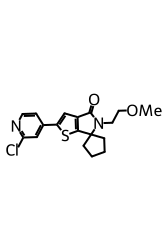 COCCN1C(=O)c2cc(-c3ccnc(Cl)c3)sc2C12CCCC2